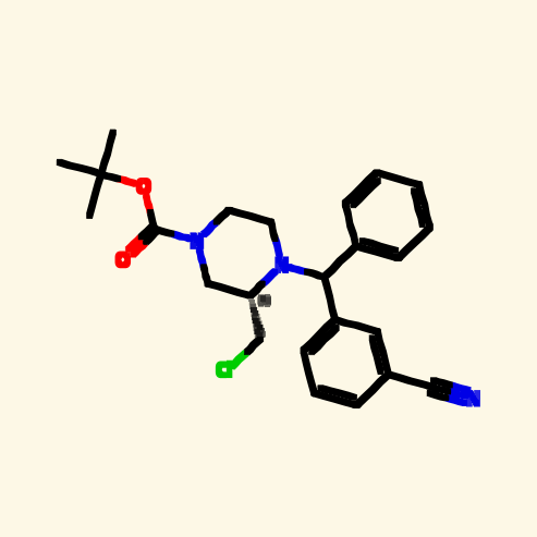 CC(C)(C)OC(=O)N1CCN(C(c2ccccc2)c2cccc(C#N)c2)[C@H](CCl)C1